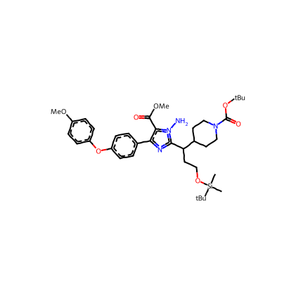 COC(=O)c1c(-c2ccc(Oc3ccc(OC)cc3)cc2)nc(C(CCO[Si](C)(C)C(C)(C)C)C2CCN(C(=O)OC(C)(C)C)CC2)n1N